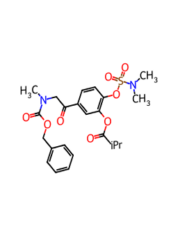 CC(C)C(=O)Oc1cc(C(=O)CN(C)C(=O)OCc2ccccc2)ccc1OS(=O)(=O)N(C)C